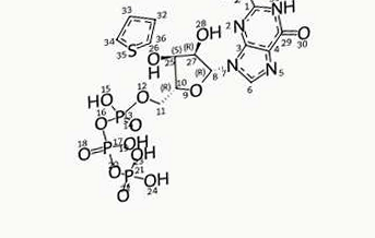 Nc1nc2c(ncn2[C@@H]2O[C@H](COP(=O)(O)OP(=O)(O)OP(=O)(O)O)[C@@H](O)[C@H]2O)c(=O)[nH]1.c1ccsc1